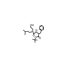 CC(C)CCN(CCO)C(=O)NC(Cc1ccccc1)C(=O)OC(C)(C)C